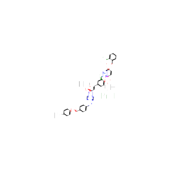 Br.C/C(=C\C(=O)N1CCN(Cc2ccc(COc3ccc(C(C)C)cc3)cc2)CC1)c1cc(C)c(Oc2ccc(OCc3ccccc3Cl)cn2)c(Cl)c1